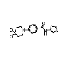 O=C(Nc1ccsc1)c1ccc(N2CCS(=O)(=O)CC2)cc1